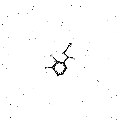 [CH2]C(CO)c1cccc(C(C)C)c1CC